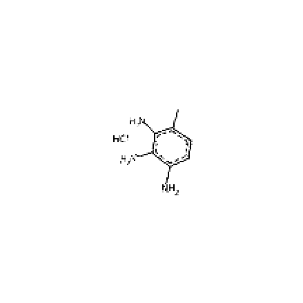 Cc1ccc(N)c(N)c1N.Cl